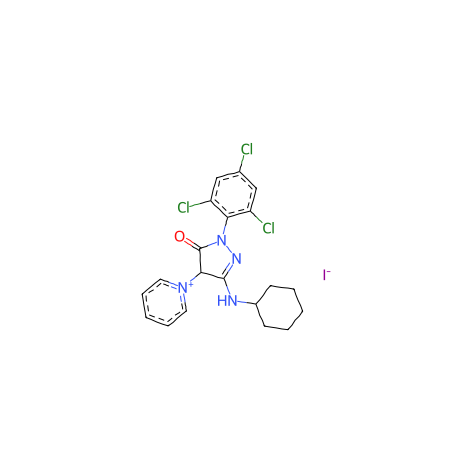 O=C1C([n+]2ccccc2)C(NC2CCCCC2)=NN1c1c(Cl)cc(Cl)cc1Cl.[I-]